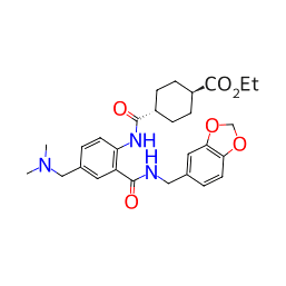 CCOC(=O)[C@H]1CC[C@H](C(=O)Nc2ccc(CN(C)C)cc2C(=O)NCc2ccc3c(c2)OCO3)CC1